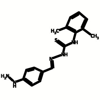 Cc1cccc(C)c1NC(=S)NN=Cc1ccc(NN)cc1